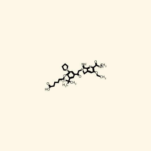 CCOc1cc2c(nc1C(=O)NC)C(=N)N(CC(=O)c1cc(N3CCCC3)c(OCCCCCC(=O)O)c(C(C)(C)C)c1)C2